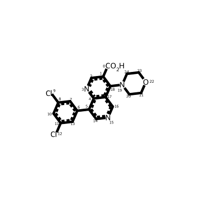 O=C(O)c1cnc2c(-c3cc(Cl)cc(Cl)c3)cncc2c1N1CCOCC1